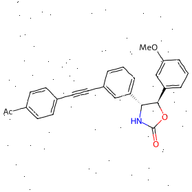 COc1cccc([C@H]2OC(=O)N[C@@H]2c2cccc(C#Cc3ccc(C(C)=O)cc3)c2)c1